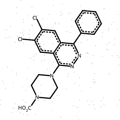 O=C(O)N1CCN(c2nnc(-c3ccccc3)c3cc(Cl)c(Cl)cc23)CC1